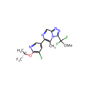 COC(F)(F)c1nnc2cnc(-c3cnc(O[C@@H](C)C(F)(F)F)c(F)c3)c(C)n12